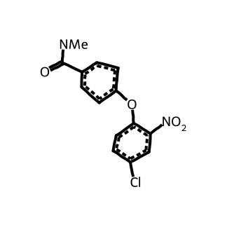 CNC(=O)c1ccc(Oc2ccc(Cl)cc2[N+](=O)[O-])cc1